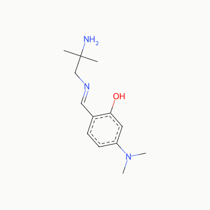 CN(C)c1ccc(C=NCC(C)(C)N)c(O)c1